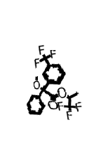 COC(C(=O)OC(C)C(F)(F)F)(c1ccccc1)c1cccc(C(F)(F)F)c1